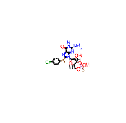 Nc1nc2c(nc(Sc3ccc(Cl)cc3)n2[C@@H]2O[C@@H]3COP(O)(=S)O[C@H]3[C@H]2O)c(=O)[nH]1